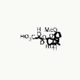 COc1ccc2c3c1OC1C(OC(=O)[C@@H](O)CC(=O)O)=CC[C@@]4(O)[C@@H](C2)N(C)CCC314